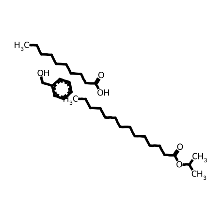 CCCCCCCCCC(=O)O.CCCCCCCCCCCCCC(=O)OC(C)C.OCc1ccccc1